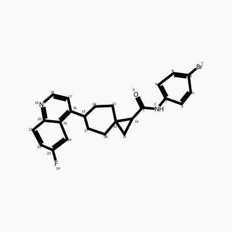 O=C(Nc1ccc(Br)cc1)C1CC12CCC(c1ccnc3ccc(F)cc13)CC2